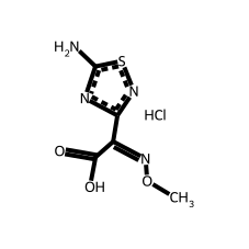 CON=C(C(=O)O)c1nsc(N)n1.Cl